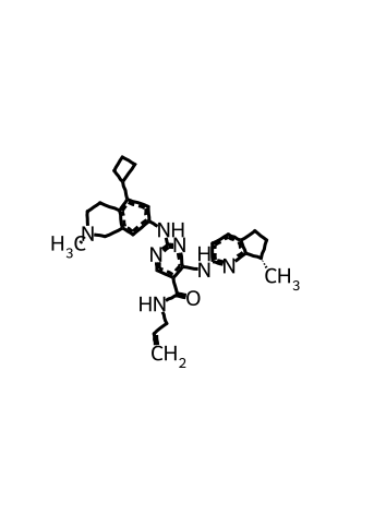 C=CCNC(=O)c1cnc(Nc2cc3c(c(C4CCC4)c2)CCN(C)C3)nc1Nc1ccc2c(n1)[C@@H](C)CC2